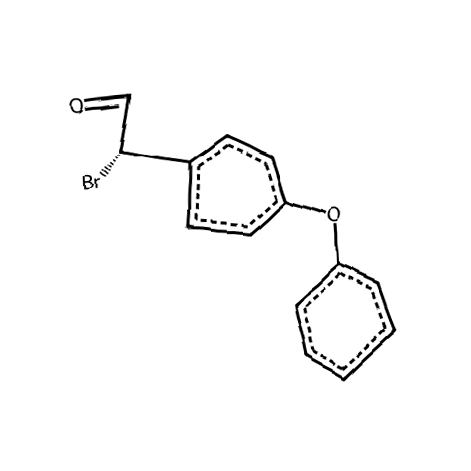 O=C[C@@H](Br)c1ccc(Oc2ccccc2)cc1